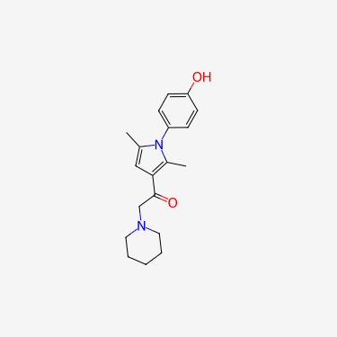 Cc1cc(C(=O)CN2CCCCC2)c(C)n1-c1ccc(O)cc1